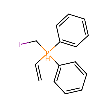 C=C[PH](CI)(c1ccccc1)c1ccccc1